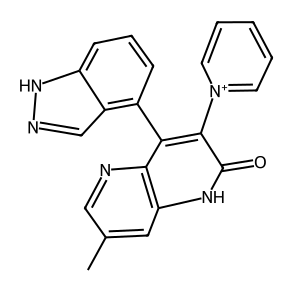 Cc1cnc2c(-c3cccc4[nH]ncc34)c(-[n+]3ccccc3)c(=O)[nH]c2c1